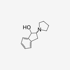 OC1c2ccccc2C[C@@H]1N1CCCC1